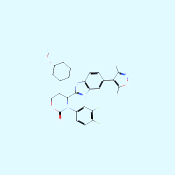 CCO[C@H]1CC[C@H](n2c(C3CCOC(=O)N3c3ccc(F)c(F)c3)nc3cc(-c4c(C)noc4C)ccc32)CC1